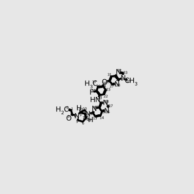 C=CC(=O)N1CC[C@H]2C[C@@H]1CN2c1ccc2ncnc(Nc3ccc(Oc4cnc5c(c4)ncn5C)c(C)c3F)c2n1